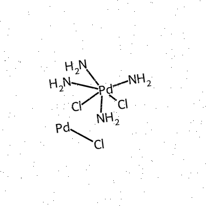 [Cl][Pd].[NH2][Pd]([NH2])([NH2])([NH2])([Cl])[Cl]